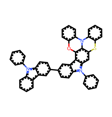 c1ccc(-n2c3ccccc3c3cc(-c4ccc5c(c4)c4c6c7c(cc4n5-c4ccccc4)Sc4ccccc4N7c4ccccc4O6)ccc32)cc1